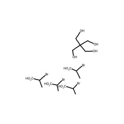 CC(Br)C(=O)O.CC(Br)C(=O)O.CC(Br)C(=O)O.CC(Br)C(=O)O.OCC(CO)(CO)CO